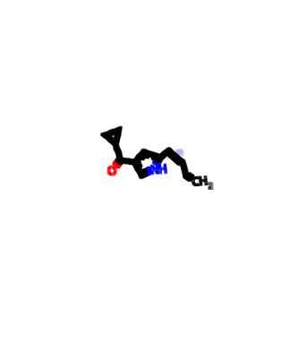 C=C/C=C\c1cc(C(=O)C2CC2)c[nH]1